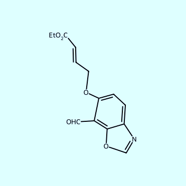 CCOC(=O)C=CCOc1ccc2ncoc2c1C=O